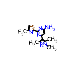 Cc1nn(C)c(C)c1-c1cc(N)nc(-c2nc(C(F)(F)F)cs2)n1